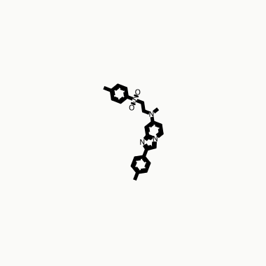 Cc1ccc(-c2cn3ccc(N(C)CCS(=O)(=O)c4ccc(C)cc4)cc3n2)cc1